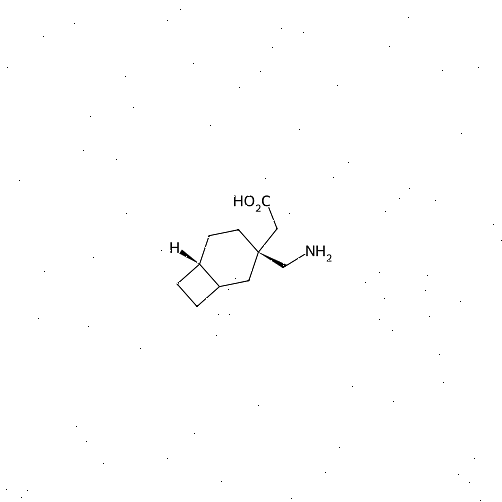 NC[C@]1(CC(=O)O)CC[C@H]2CCC2C1